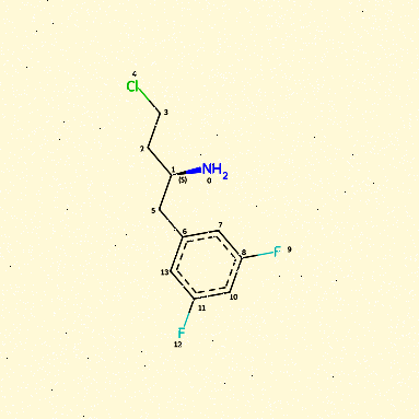 N[C@H](CCCl)Cc1cc(F)cc(F)c1